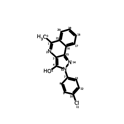 Cc1nc2c(O)n(-c3ccc(Cl)cc3)nc2c2ccccc12